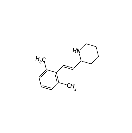 Cc1cccc(C)c1/C=C/C1CCCCN1